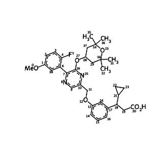 COc1ccc(F)c(-c2ncc(COc3cccc(C(CC(=O)O)C4CC4)c3)nc2OC2CC(C)(C)OC(C)(C)C2)c1